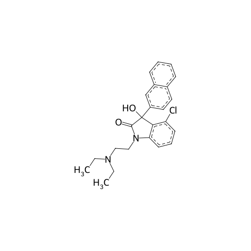 CCN(CC)CCN1C(=O)C(O)(c2ccc3ccccc3c2)c2c(Cl)cccc21